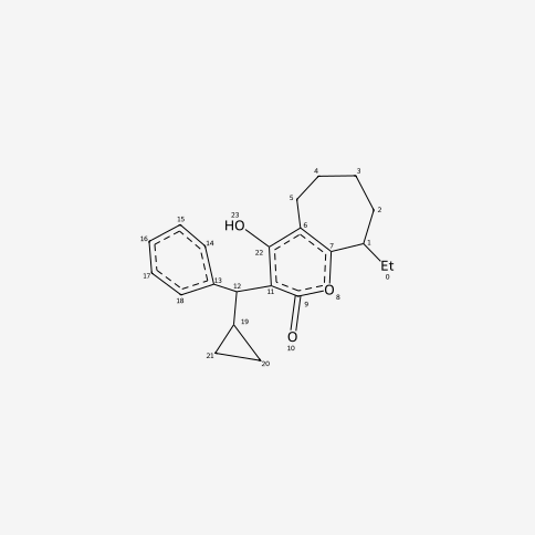 CCC1CCCCc2c1oc(=O)c(C(c1ccccc1)C1CC1)c2O